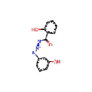 O=C(N=[N+]=Nc1cccc(O)c1)c1ccccc1O